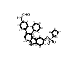 O=CNc1ccc(-c2cnc3[nH]c4ccc(OS(=O)(=O)c5cccs5)cc4c3c2-c2ccccc2)cc1